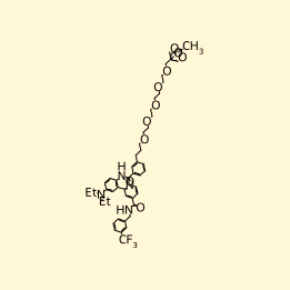 CCN(CC)c1ccc(NC(=O)c2cccc(CCCOCCOCCOCCOCCOCC34COC(C)(OC3)OC4)c2)c(-c2cc(C(=O)NCc3cccc(C(F)(F)F)c3)ccn2)c1